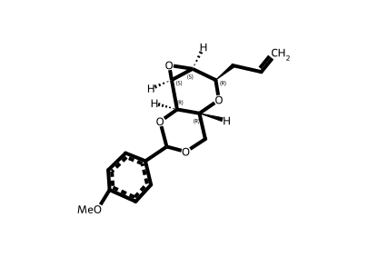 C=CC[C@H]1O[C@@H]2COC(c3ccc(OC)cc3)O[C@H]2[C@H]2O[C@H]21